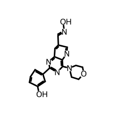 ON=Cc1cnc2c(N3CCOCC3)nc(-c3cccc(O)c3)nc2c1